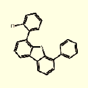 Clc1ccccc1-c1cccc2c1sc1c(-c3ccccc3)cccc12